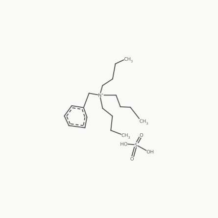 CCCC[N+](CCCC)(CCCC)Cc1ccccc1.O=S(=O)(O)O